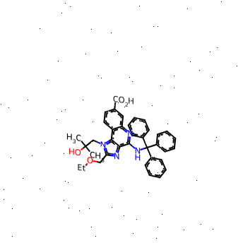 CCOCc1nc2c(NC(c3ccccc3)(c3ccccc3)c3ccccc3)nc3cc(C(=O)O)ccc3c2n1CC(C)(C)O